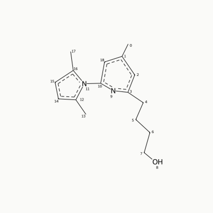 Cc1cc(CCCCO)nc(-n2c(C)ccc2C)c1